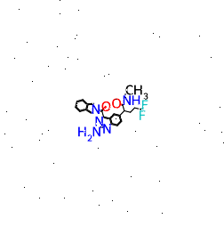 CCNC(=O)C(CCC(F)F)c1ccc2nc(N)nc(C(=O)n3cc4ccccc4c3)c2c1